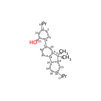 CC(C)c1ccc(-c2ccc3c(c2)C(C)(C)c2cc(C(C)C)ccc2-3)c(O)c1